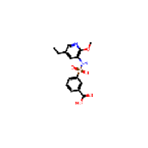 CCc1cnc(OC)c(NS(=O)(=O)c2cccc(C(=O)O)c2)c1